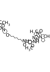 CC[C@@H]1C(=O)N(C)c2cnc(Nc3ccc(C(=O)NCCCCCCCCOC4CCN(C(=O)OC(C)(C)C)CC4)cc3OC)nc2N1C1CCCC1